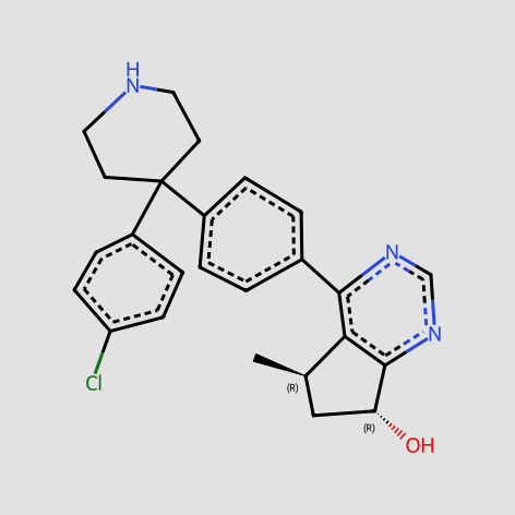 C[C@@H]1C[C@@H](O)c2ncnc(-c3ccc(C4(c5ccc(Cl)cc5)CCNCC4)cc3)c21